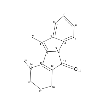 Cc1c2n(c3ccccc13)C(=O)C1=C2N(C)CCC1